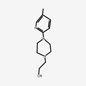 Cc1ccc(N2CCN(CCC#N)CC2)nc1